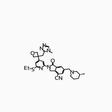 CCSc1cc(C2(Cc3nncn3C)COC2)cc(N2Cc3c(C#N)cc(CN4CCC[C@H](C)C4)cc3C2=O)n1